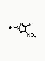 CC(C)n1cc([N+](=O)[O-])c(Br)n1